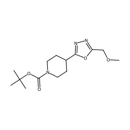 COCc1nnc(C2CCN(C(=O)OC(C)(C)C)CC2)o1